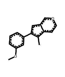 [CH2]c1c2ccocc-2cc1-c1cccc(OC)c1